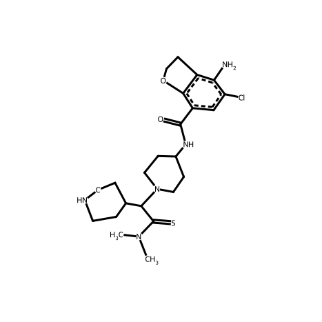 CN(C)C(=S)C(C1CCNCC1)N1CCC(NC(=O)c2cc(Cl)c(N)c3c2OCC3)CC1